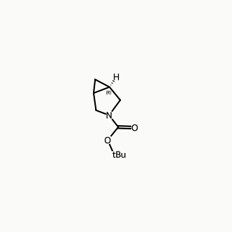 CC(C)(C)OC(=O)N1CC2C[C@H]2C1